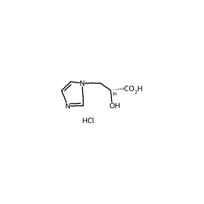 Cl.O=C(O)[C@H](O)Cn1ccnc1